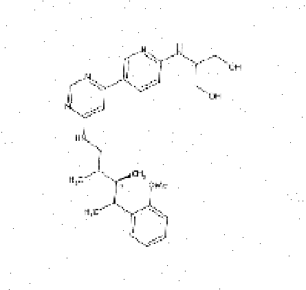 COc1ccccc1C(C)[C@H](C)C(C)CNc1cc(-c2ccc(NC(CO)CO)nc2)ncn1